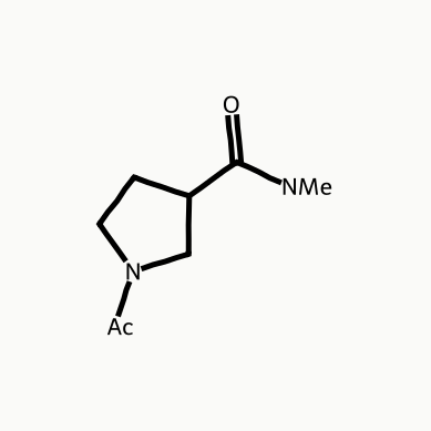 CNC(=O)C1CCN(C(C)=O)C1